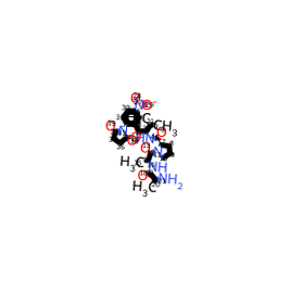 CC(C)[C@H](NC(=O)[C@@H]1CCCN1C(=O)[C@H](C)NC(=O)[C@H](C)N)C(=O)c1cc([N+](=O)[O-])ccc1N1C(=O)CCC1=O